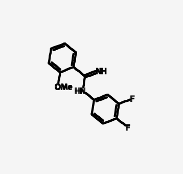 COc1ccccc1C(=N)Nc1ccc(F)c(F)c1